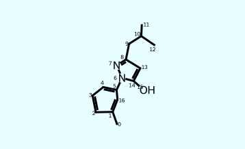 Cc1cccc(-n2nc(CC(C)C)cc2O)c1